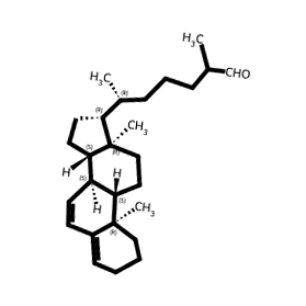 CC(C=O)CCC[C@@H](C)[C@H]1CC[C@H]2[C@@H]3C=CC4=CCCC[C@]4(C)[C@H]3CC[C@]12C